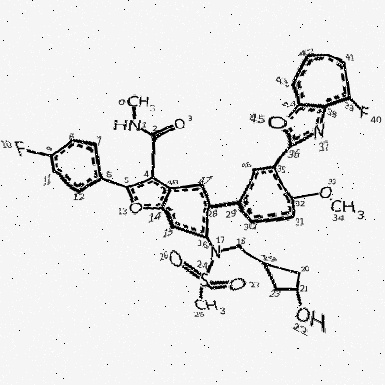 CNC(=O)c1c(-c2ccc(F)cc2)oc2cc(N(CC3CC(O)C3)S(C)(=O)=O)c(-c3ccc(OC)c(-c4nc5c(F)cccc5o4)c3)cc12